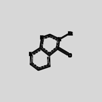 CCn1cnc2ncccc2c1=O